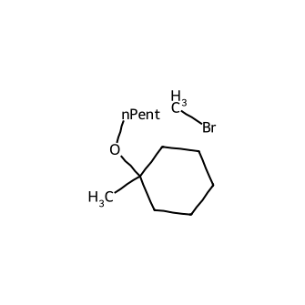 CBr.CCCCCOC1(C)CCCCC1